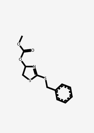 COC(=O)OC1CSC(SCc2ccccc2)=N1